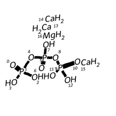 O=P(O)(O)OP(=O)(O)OP(=O)(O)O.[CaH2].[CaH2].[CaH2].[MgH2]